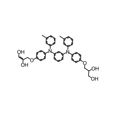 Cc1cccc(N(c2ccc(OC/C(O)=C\O)cc2)c2cccc(N(c3ccc(OCC(O)CO)cc3)c3cccc(C)c3)c2)c1